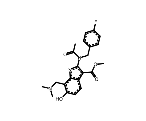 COC(=O)c1c(N(Cc2ccc(F)cc2)C(C)=O)sc2c(CN(C)C)c(O)ccc12